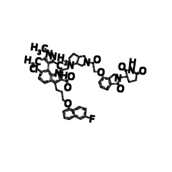 Cc1nn(C)c(C)c1-c1c(Cl)ccc2c(CCCOc3cccc4cc(F)ccc34)c(C(=O)O)n(CCN3CCC4CN(C(=O)COc5cccc6c5CN(C5CCC(=O)NC5=O)C6=O)CC43)c12